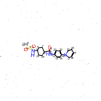 CC(C)S(=O)(=O)NC1CCC(C(=O)Nc2ccc(N3CC=CCC3)cc2)CC1